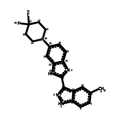 Cc1ccc2[nH]nc(-c3nc4ccc(N5CCC(F)(F)CC5)cc4[nH]3)c2c1